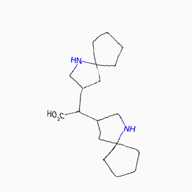 O=C(O)C(C1CNC2(CCCC2)C1)C1CNC2(CCCC2)C1